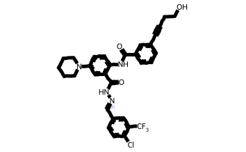 O=C(Nc1ccc(N2CCCCC2)cc1C(=O)N/N=C/c1ccc(Cl)c(C(F)(F)F)c1)c1cccc(C#CCCO)c1